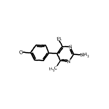 CCc1nc(N)nc(C)c1-c1ccc(Cl)cc1